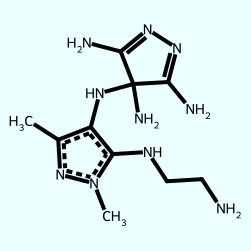 Cc1nn(C)c(NCCN)c1NC1(N)C(N)=NN=C1N